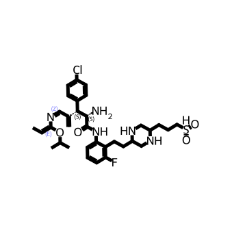 C=C(/C=N\C(=C/C)OC(C)C)[C@H](c1ccc(Cl)cc1)[C@H](N)C(=O)Nc1cccc(F)c1CCC1CNC(CCC[SH](=O)=O)CN1